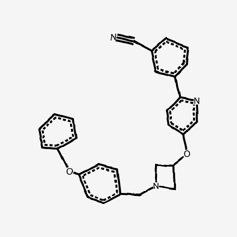 N#Cc1cccc(-c2ccc(OC3CN(Cc4ccc(Oc5ccccc5)cc4)C3)cn2)c1